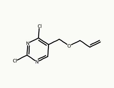 C=CCOCc1cnc(Cl)nc1Cl